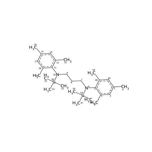 Cc1cc(C)c(N(CCCN(c2c(C)cc(C)cc2C)[Si](C)(C)C)[Si](C)(C)C)c(C)c1